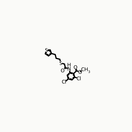 COC(=O)c1c(Cl)cc(Cl)cc1NC(=O)CSCCCc1ccsc1